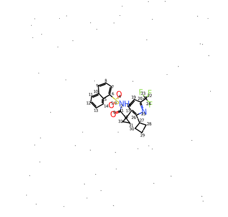 O=C(NS(=O)(=O)c1cccc2ccccc12)C1(c2ccc(C(F)(F)F)nc2C2CCC2)CC1